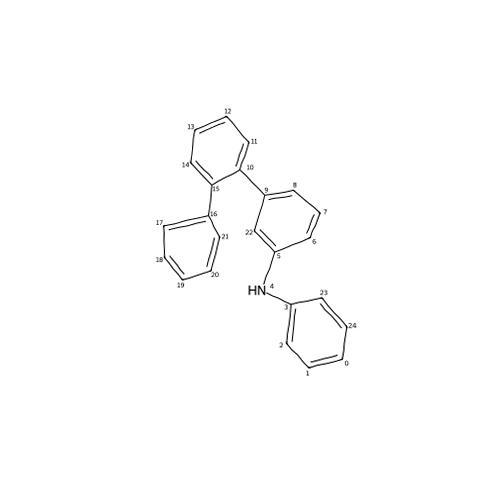 c1ccc(Nc2cccc(-c3ccccc3-c3ccccc3)c2)cc1